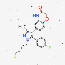 Cc1nn(CCCCF)c(-c2ccc(F)cc2)c1-c1ccc2c(c1)NC(=O)CO2